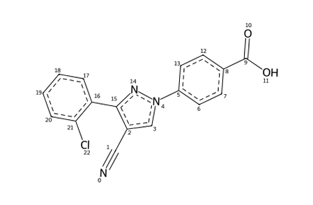 N#Cc1cn(-c2ccc(C(=O)O)cc2)nc1-c1ccccc1Cl